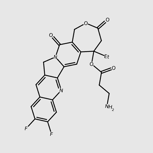 CCC1(OC(=O)CCN)CC(=O)OCc2c1cc1n(c2=O)Cc2cc3cc(F)c(F)cc3nc2-1